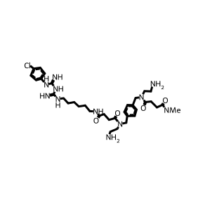 CNC(=O)CCC(=O)N(CCN)Cc1ccc(CN(CCN)C(=O)CCC(=O)NCCCCCCNC(=N)NC(=N)Nc2ccc(Cl)cc2)cc1